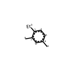 CCc1ccc(C)[c]c1C